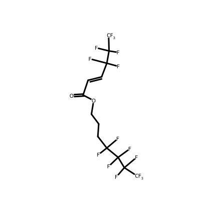 O=C(C=CC(F)(F)C(F)(F)C(F)(F)F)OCCCC(F)(F)C(F)(F)C(F)(F)C(F)(F)F